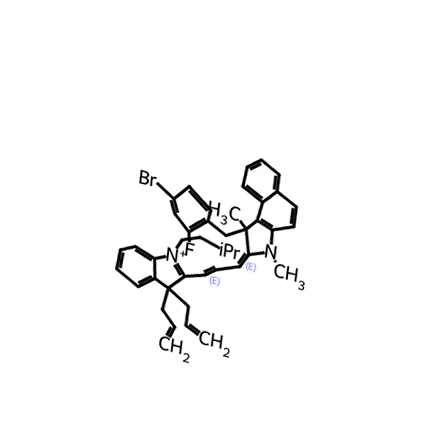 C=CCC1(CC=C)C(/C=C/C=C2/N(C)c3ccc4ccccc4c3C2(C)Cc2ccc(Br)cc2F)=[N+](CCC(C)C)c2ccccc21